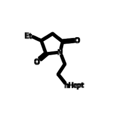 CCCCCCCCCN1C(=O)CC(CC)C1=O